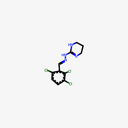 Clc1ccc(Cl)c(/C=N/NC2=NCCCN2)c1Cl